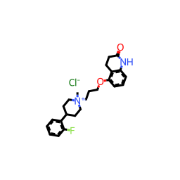 C[N+]1(CCCOc2cccc3c2CCC(=O)N3)CCC(c2ccccc2F)CC1.[Cl-]